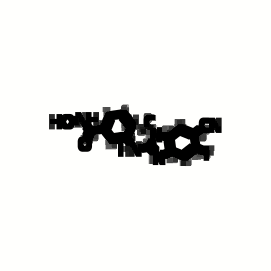 Cn1c(Nc2cccc(C(=O)NO)c2)nc2cc(F)c(C#N)cc21